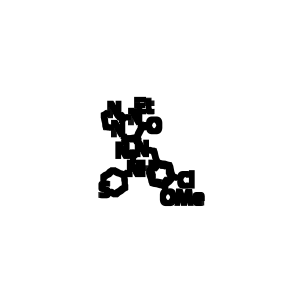 CCN1C(=O)c2c(nc(NC3CCSCC3)n2Cc2ccc(OC)c(Cl)c2)N2CCN=C12